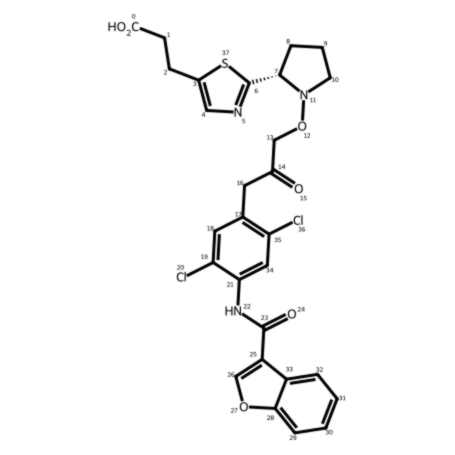 O=C(O)CCc1cnc([C@@H]2CCCN2OCC(=O)Cc2cc(Cl)c(NC(=O)c3coc4ccccc34)cc2Cl)s1